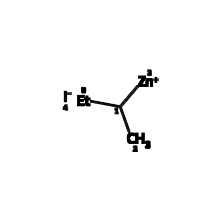 CC[CH](C)[Zn+].[I-]